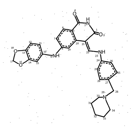 O=C1NC(=O)c2ccc(Nc3ccc4c(c3)OCO4)cc2C1=CNc1ccc(CN2CCCCC2)cc1